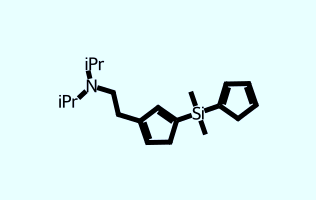 CC(C)N(CCC1=CCC([Si](C)(C)C2=CC=CC2)=C1)C(C)C